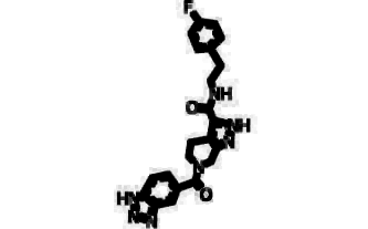 O=C(NCCc1ccc(F)cc1)c1[nH]nc2c1CCN(C(=O)c1ccc3[nH]nnc3c1)C2